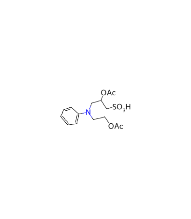 CC(=O)OCCN(CC(CS(=O)(=O)O)OC(C)=O)c1ccccc1